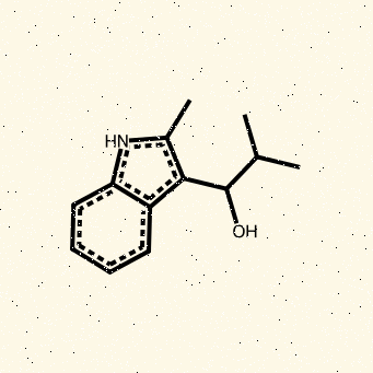 Cc1[nH]c2ccccc2c1C(O)C(C)C